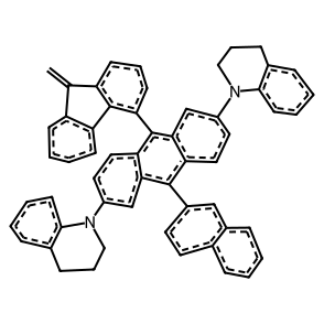 C=C1c2ccccc2-c2c1cccc2-c1c2ccc(N3CCCc4ccccc43)cc2c(-c2ccc3ccccc3c2)c2ccc(N3CCCc4ccccc43)cc12